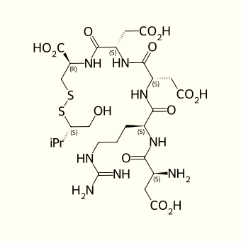 CC(C)[C@@H](CO)SSC[C@H](NC(=O)[C@H](CC(=O)O)NC(=O)[C@H](CC(=O)O)NC(=O)[C@H](CCCNC(=N)N)NC(=O)[C@@H](N)CC(=O)O)C(=O)O